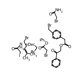 CC(C)=CCCBr.CC(C)OC(=O)CBr.CCCCCCCCCCCBr.NC(=O)CBr.NC(=O)CI.O=C(Cc1ccc(CBr)cc1)OCC(=O)c1ccccc1